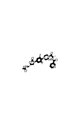 CC(=O)NC[C@H]1CN(c2cc(F)c(N3CCN(C(=O)[C@H](C)NC(=O)c4cccnc4)CC3)c(F)c2)C(=O)O1